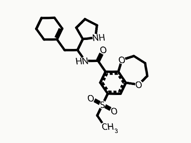 CCS(=O)(=O)c1cc2c(c(C(=O)NC(CC3=CCCCC3)C3CCCN3)c1)OCCCO2